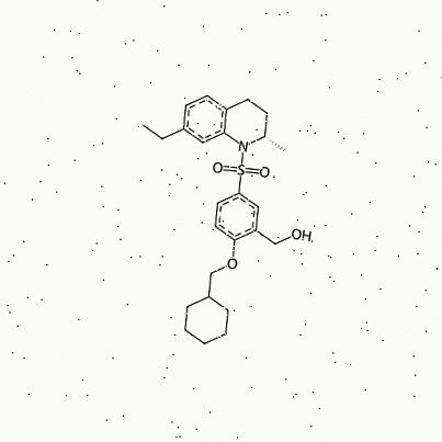 CCc1ccc2c(c1)N(S(=O)(=O)c1ccc(OCC3CCCCC3)c(CO)c1)[C@@H](C)CC2